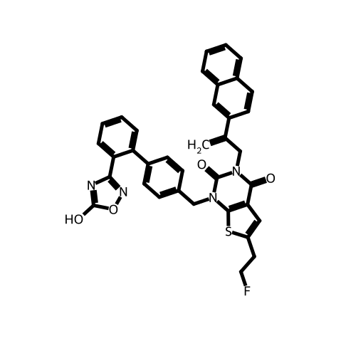 C=C(Cn1c(=O)c2cc(CCF)sc2n(Cc2ccc(-c3ccccc3-c3noc(O)n3)cc2)c1=O)c1ccc2ccccc2c1